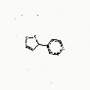 C1=CC(c2ccncc2)SS1